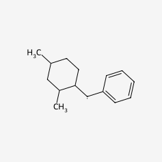 CC1CCC([CH]c2ccccc2)C(C)C1